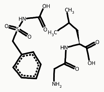 CC(C)C[C@H](NC(=O)CN)C(=O)O.O=C(O)NS(=O)(=O)Cc1ccccc1